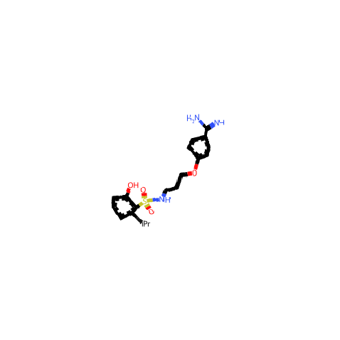 CC(C)c1cccc(O)c1S(=O)(=O)NCCCOc1ccc(C(=N)N)cc1